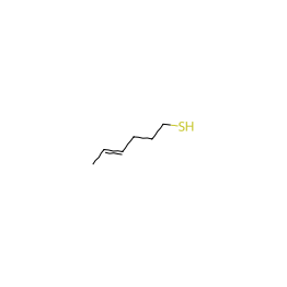 C/C=C/CCCS